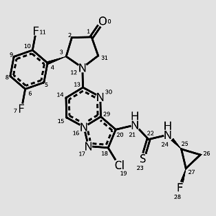 O=C1C[C@H](c2cc(F)ccc2F)N(c2ccn3nc(Cl)c(NC(=S)N[C@H]4C[C@H]4F)c3n2)C1